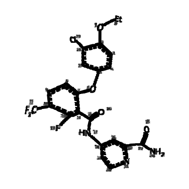 CCOc1ccc(Oc2ccc(C(F)(F)F)c(F)c2C(=O)Nc2ccnc(C(N)=O)c2)cc1Cl